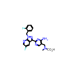 CN(Cc1cnc(-c2nn(Cc3ccccc3F)c3ncc(F)cc23)nc1N)C(=O)O